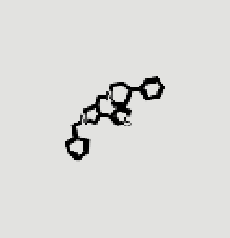 c1ccc(CN2CC(CN3CCC(c4ccccc4)CC3)C(c3ccsc3)C2)cc1